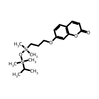 CC(C)[Si](C)(C)O[Si](C)(C)CCCOc1ccc2ccc(=O)oc2c1